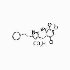 CCCc1nc(CCc2ccccc2)c(C(=O)O)n1Cc1cc2c(cc1Cl)OCO2